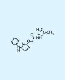 CN(C)CCNC(=O)COc1nccc(Nc2ccccc2)n1